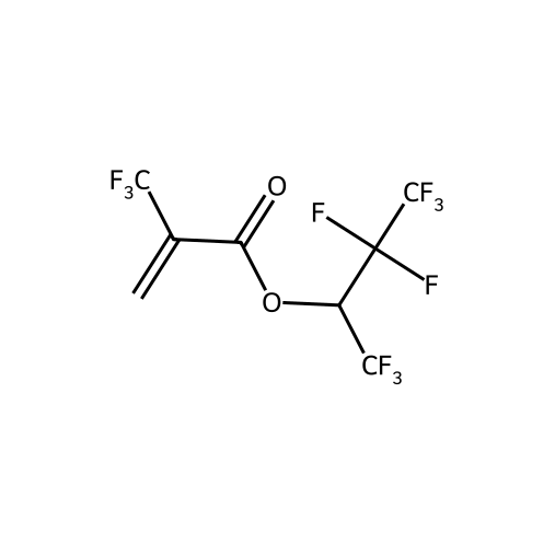 C=C(C(=O)OC(C(F)(F)F)C(F)(F)C(F)(F)F)C(F)(F)F